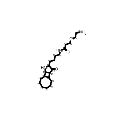 NCCOCCC(=O)NCCCCC1NC2C3CCCCCCC3C2C1=O